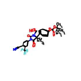 CC(C)(C)OC(=O)Oc1ccc(C2(C)C(=O)N(c3ccc(C#N)c(C(F)(F)F)c3)C(=O)N2CO)cc1